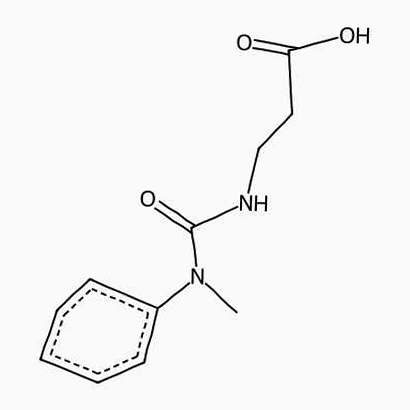 CN(C(=O)NCCC(=O)O)c1ccccc1